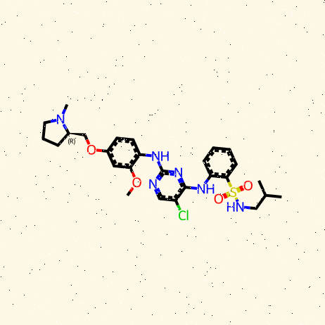 COc1cc(OC[C@H]2CCCN2C)ccc1Nc1ncc(Cl)c(Nc2ccccc2S(=O)(=O)NCC(C)C)n1